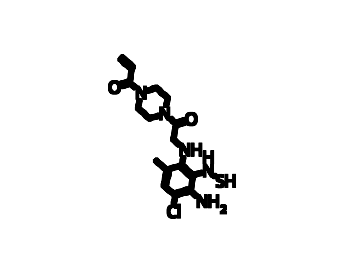 C=CC(=O)N1CCN(C(=O)CNc2c(C)cc(Cl)c(N)c2NS)CC1